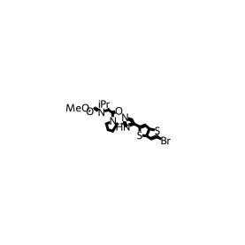 COO/C=N/[C@H](C(=O)N1CCC[C@H]1c1ncc(C2=CC3SC(Br)=CC3S2)[nH]1)C(C)C